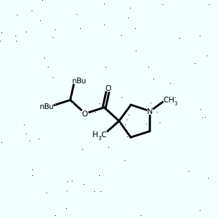 CCCCC(CCCC)OC(=O)C1(C)CCN(C)C1